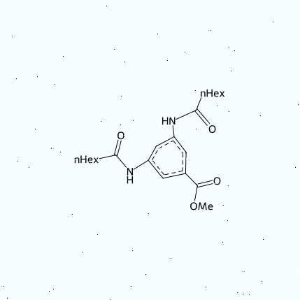 CCCCCCC(=O)Nc1cc(NC(=O)CCCCCC)cc(C(=O)OC)c1